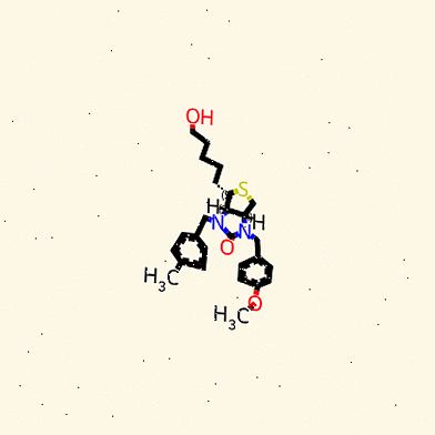 COc1ccc(CN2C(=O)N(Cc3ccc(C)cc3)[C@@H]3[C@H](CCCCCO)SC[C@@H]32)cc1